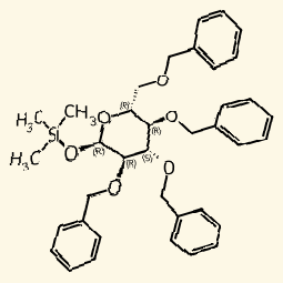 C[Si](C)(C)O[C@H]1O[C@H](COCc2ccccc2)[C@@H](OCc2ccccc2)[C@H](OCc2ccccc2)[C@H]1OCc1ccccc1